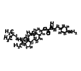 CC(C)CCC[C@@H](C)C1CCC2C3CC=C4C[C@H](OC(=O)NCCc5ccc(N)cc5)CCC4(C)C3CCC21C